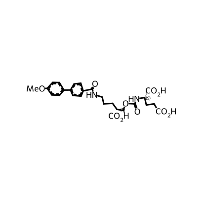 COc1ccc(-c2ccc(C(=O)NCCCC[C@H](OC(=O)N[C@@H](CCC(=O)O)C(=O)O)C(=O)O)cc2)cc1